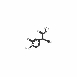 COC(=O)C(C#N)c1ccn(C)c(=O)c1